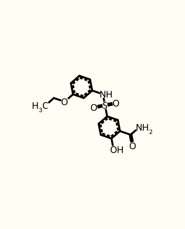 CCOc1cccc(NS(=O)(=O)c2ccc(O)c(C(N)=O)c2)c1